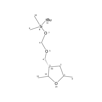 CC1C[C@@H](COCO[Si](C)(C)C(C)(C)C)C(C)O1